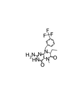 CCC1C(=O)N(C)c2c(nc(N)[nH]c2=O)N1Cc1cccc(C(F)(F)F)c1